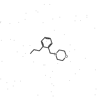 CCCc1ccccc1CN1CCOCC1